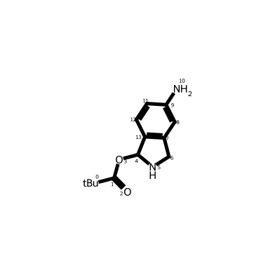 CC(C)(C)C(=O)OC1NCc2cc(N)ccc21